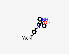 CNCCc1ccc(CCn2ccc(C(C(N)=O)(c3ccccc3)c3ccccc3)c2)cc1